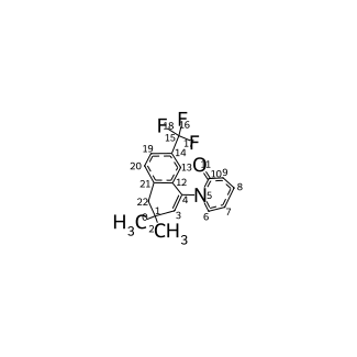 CC1(C)C=C(n2ccccc2=O)c2cc(C(F)(F)F)ccc2C1